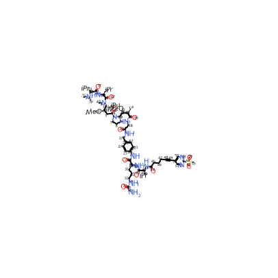 CC[C@H](C)[C@@H]([C@@H](CC(=O)N1CCC[C@H]1[C@H](OC)[C@@H](C)C(=O)NCC(=O)NCc1ccc(NC(=O)[C@H](CCCNC(N)=O)NC(=O)[C@@H](NC(=O)CCCC#Cc2cnc(S(C)(=O)=O)nc2)C(C)C)cc1)OC)N(C)C(=O)[C@@H](NC(=O)[C@H](C(C)C)N(C)C)C(C)C